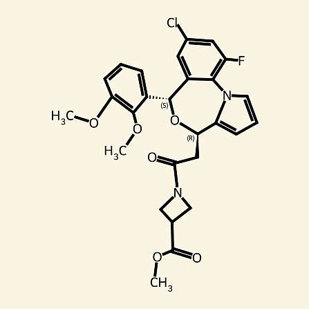 COC(=O)C1CN(C(=O)C[C@H]2O[C@H](c3cccc(OC)c3OC)c3cc(Cl)cc(F)c3-n3cccc32)C1